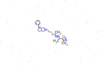 C/C(=N\N=C(/C)c1ocnc1C)SCCCN1CC2CCN(c3ccccc3)C2C1